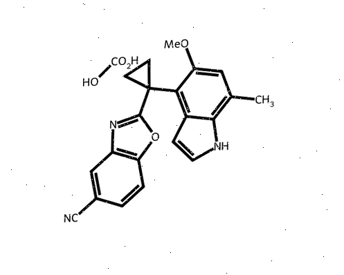 COc1cc(C)c2[nH]ccc2c1C1(c2nc3cc(C#N)ccc3o2)CC1.O=C(O)O